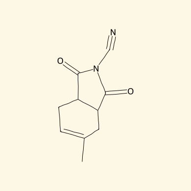 CC1=CCC2C(=O)N(C#N)C(=O)C2C1